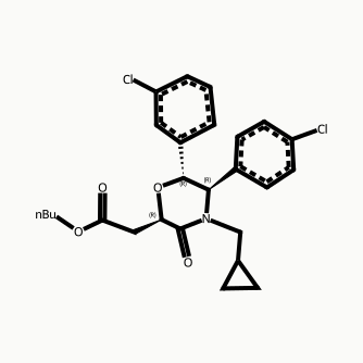 CCCCOC(=O)C[C@H]1O[C@H](c2cccc(Cl)c2)[C@@H](c2ccc(Cl)cc2)N(CC2CC2)C1=O